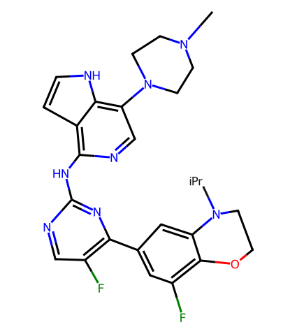 CC(C)N1CCOc2c(F)cc(-c3nc(Nc4ncc(N5CCN(C)CC5)c5[nH]ccc45)ncc3F)cc21